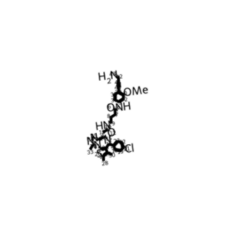 COc1cc(NC(=O)CCCNC(=O)C[C@@H]2N=C(c3ccc(Cl)cc3)c3c(sc(C)c3C)-n3c(C)nnc32)ccc1C#CCN